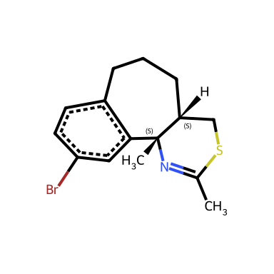 CC1=N[C@]2(C)c3cc(Br)ccc3CCC[C@@H]2CS1